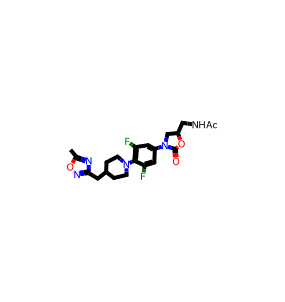 CC(=O)NCC1CN(c2cc(F)c(N3CCC(Cc4noc(C)n4)CC3)c(F)c2)C(=O)O1